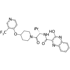 CC(C)[C@H](NC(=O)c1nc2ccccc2nc1O)C(=O)N1CCC(Oc2ccncc2C(F)(F)F)CC1